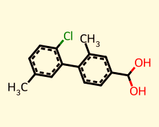 Cc1ccc(Cl)c(-c2ccc(C(O)O)cc2C)c1